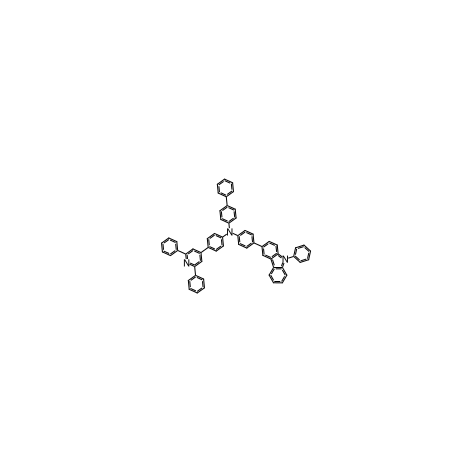 c1ccc(-c2ccc(N(c3ccc(-c4cc(-c5ccccc5)nc(-c5ccccc5)c4)cc3)c3ccc(-c4ccc5c(c4)c4ccccc4n5-c4ccccc4)cc3)cc2)cc1